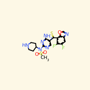 CS(=O)(=O)N(c1ncc(C(=S)c2c(F)c(F)cc3ncoc23)c(N)n1)C1CCNCC1